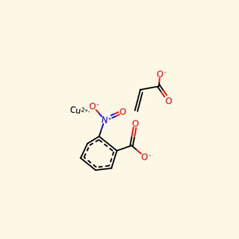 C=CC(=O)[O-].O=C([O-])c1ccccc1[N+](=O)[O-].[Cu+2]